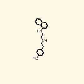 COc1ccc(CCNCCNc2cccc3ccccc23)cc1